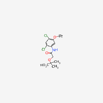 CC(C)Oc1cc(NC(=O)COC(C)(C)C(=O)O)c(Cl)cc1Cl